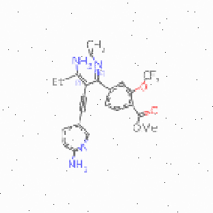 C=C/N=C(\C(C#Cc1ccc(N)nc1)=C(/N)CC)c1ccc(C(=O)OC)c(OC(F)(F)F)c1